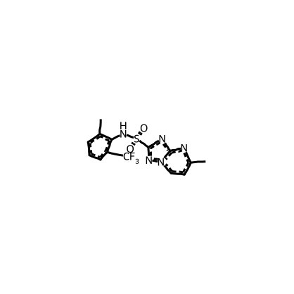 Cc1ccn2nc(S(=O)(=O)Nc3c(C)cccc3C(F)(F)F)nc2n1